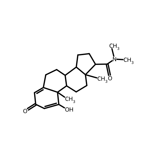 CN(C)C(=O)C1CCC2C3CCC4=CC(=O)C=C(O)C4(C)C3CCC12C